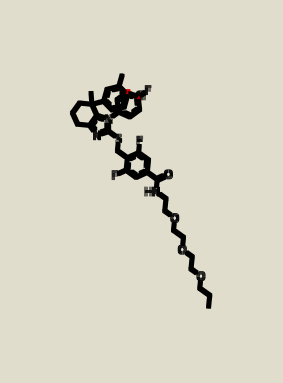 CCCOCCOCCOCCNC(=O)c1cc(F)c(CSc2nc3c(n2-c2ccc(F)cc2)C(C)(c2ccc(Cl)c(C)c2)CCC3)c(F)c1